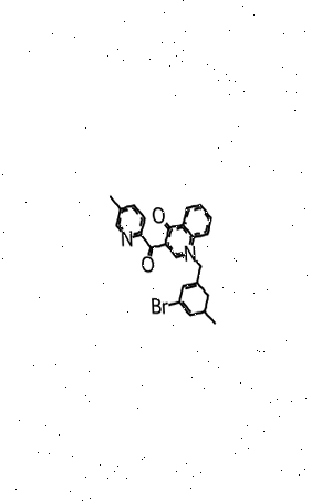 Cc1ccc(C(=O)c2cn(CC3=CC(Br)=CC(C)C3)c3ccccc3c2=O)nc1